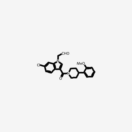 COc1ccccc1C1CCN(C(=O)c2cn(CC=O)c3cc(Cl)ccc23)CC1